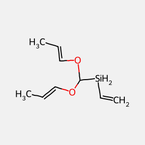 C=C[SiH2]C(OC=CC)OC=CC